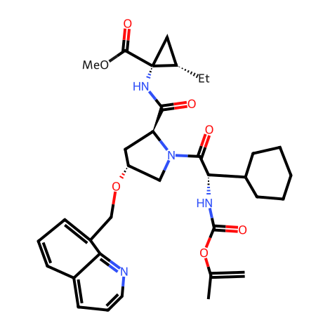 C=C(C)OC(=O)N[C@H](C(=O)N1C[C@H](OCc2cccc3cccnc23)C[C@H]1C(=O)N[C@]1(C(=O)OC)C[C@@H]1CC)C1CCCCC1